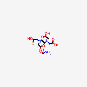 NC=O.O=C(O)CN(CCN(CC(=O)O)CC(=O)O)CC(=O)O